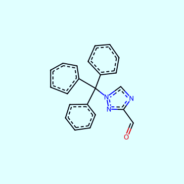 O=Cc1ncn(C(c2ccccc2)(c2ccccc2)c2ccccc2)n1